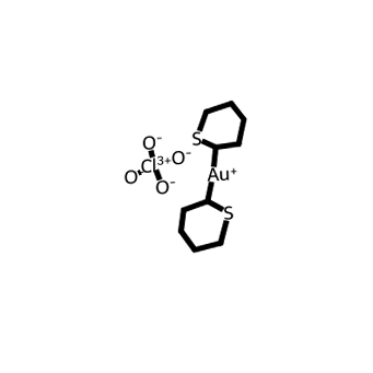 C1CC[CH]([Au+][CH]2CCCCS2)SC1.[O-][Cl+3]([O-])([O-])[O-]